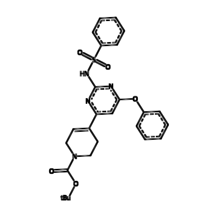 CC(C)(C)OC(=O)N1CC=C(c2cc(Oc3ccccc3)nc(NS(=O)(=O)c3ccccc3)n2)CC1